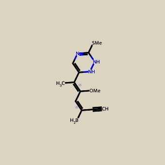 B/C(C#C)=C/C(OC)=C(\C)C1=CN=C(SC)NN1